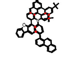 CC(C)(C)c1cc(-c2cccc3cccc(-c4ccccc4N(c4ccc(-c5cccc6c5ccc5ccccc56)cc4)c4ccccc4-c4cccc5c4oc4ccccc45)c23)cc(C(C)(C)C)c1